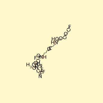 CC1(C)C(=O)N(c2ccc(C#N)c(C(F)(F)F)c2)C(=S)N1c1ccc(C(=O)NCCCCCCOCCCCCNC[C@@H](O)COc2cccc(OCc3ccc(F)cc3)c2)c(F)c1